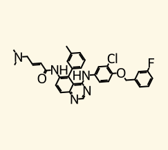 Cc1cccc(-c2c(NC(=O)/C=C/CN(C)C)ccc3ncnc(Nc4ccc(OCc5cccc(F)c5)c(Cl)c4)c23)c1